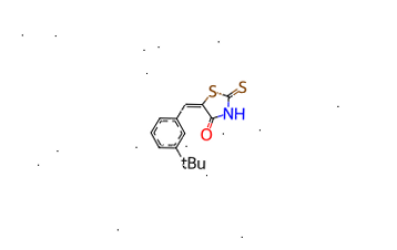 CC(C)(C)c1cccc(C=C2SC(=S)NC2=O)c1